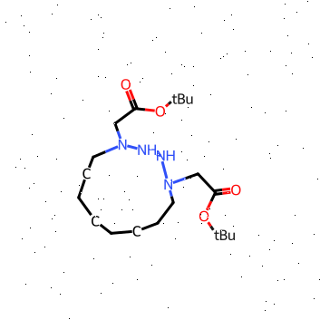 CC(C)(C)OC(=O)CN1CCCCCCCCN(CC(=O)OC(C)(C)C)NN1